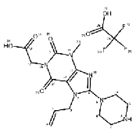 C=CCn1c(N2CCNCC2)nc2c1c(=O)n(CC(=O)O)c(=O)n2C.O=C(O)C(F)(F)F